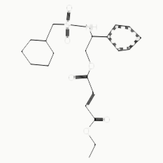 CCOC(=O)/C=C/C(=O)OCC(NS(=O)(=O)CC1CCCCC1)c1ccccc1